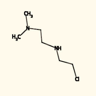 CN(C)CCNCCCl